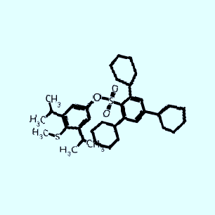 CSc1c(C(C)C)cc(OS(=O)(=O)c2c(C3CCCCC3)cc(C3CCCCC3)cc2C2CCCCC2)cc1C(C)C